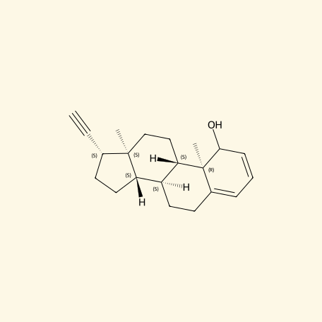 C#C[C@H]1CC[C@H]2[C@@H]3CCC4=CC=CC(O)[C@]4(C)[C@H]3CC[C@]12C